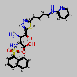 NC(C(=O)c1nnc(CCCCNc2ccccn2)s1)[C@H](NS(=O)(=O)c1cccc2ccccc12)C(=O)O